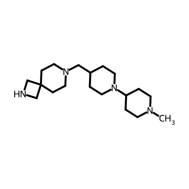 CN1CCC(N2CCC(CN3CCC4(CC3)CNC4)CC2)CC1